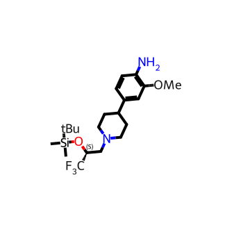 COc1cc(C2CCN(C[C@H](O[Si](C)(C)C(C)(C)C)C(F)(F)F)CC2)ccc1N